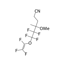 COC(C)(CCC#N)C(F)(F)C(F)(F)OC(F)=C(F)F